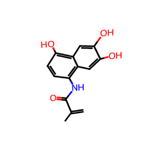 C=C(C)C(=O)Nc1ccc(O)c2cc(O)c(O)cc12